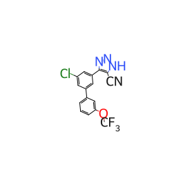 N#Cc1[nH]nnc1-c1cc(Cl)cc(-c2cccc(OC(F)(F)F)c2)c1